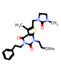 COCCn1c(=O)n(CCc2ccccc2)c(=O)c2c(C)c(CN3CCN(C)C3=O)sc21